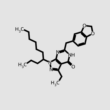 CCCCCCC(CCC)n1nc(CC)c2c(=O)[nH]c(Cc3ccc4c(c3)OCO4)nc21